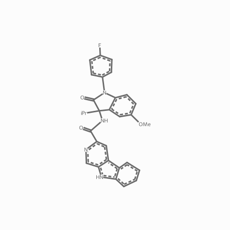 COc1ccc2c(c1)C(NC(=O)c1cc3c(cn1)[nH]c1ccccc13)(C(C)C)C(=O)N2c1ccc(F)cc1